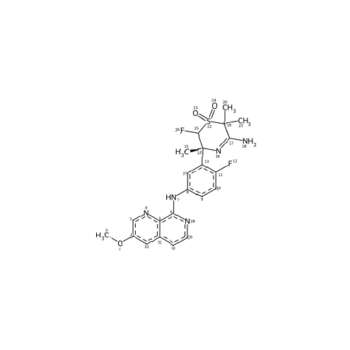 COc1cnc2c(Nc3ccc(F)c([C@@]4(C)N=C(N)C(C)(C)S(=O)(=O)C4F)c3)nccc2c1